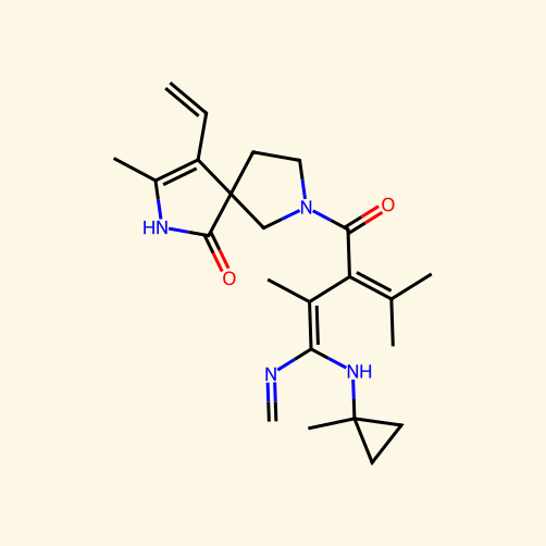 C=CC1=C(C)NC(=O)C12CCN(C(=O)C(=C(C)C)/C(C)=C(/N=C)NC1(C)CC1)C2